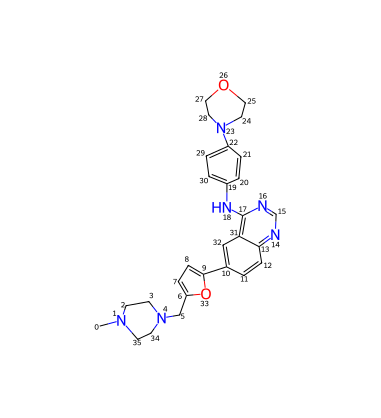 CN1CCN(Cc2ccc(-c3ccc4ncnc(Nc5ccc(N6CCOCC6)cc5)c4c3)o2)CC1